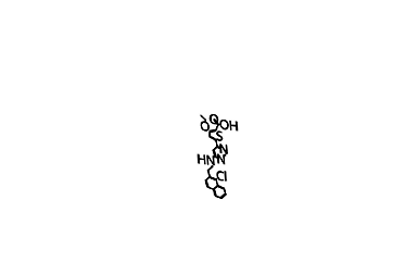 CCOc1cc(-c2cc(NCCc3ccc4ccccc4c3Cl)ncn2)sc1C(=O)O